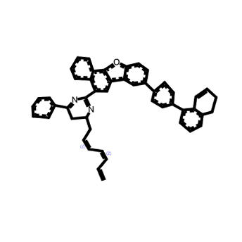 C=C/C=C\C=C/CC1CC(c2ccccc2)=NC(c2cc3c4cc(-c5ccc(-c6cccc7c6C=CCC7)cc5)ccc4oc3c3ccccc23)=N1